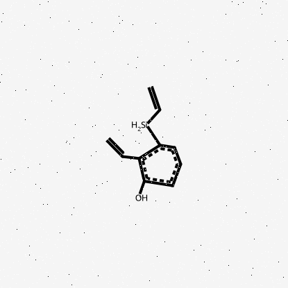 C=C[SiH2]c1cccc(O)c1C=C